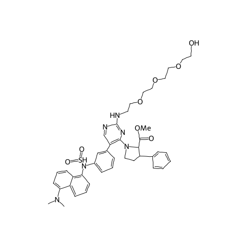 COC(=O)C1C(c2ccccc2)CCN1c1nc(NCCOCCOCCOCCO)ncc1-c1cccc(N(c2cccc3c(N(C)C)cccc23)[SH](=O)=O)c1